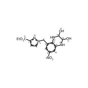 CCOC(=O)c1ccn(Cc2cc([N+](=O)[O-])cc3c2NC(O)C(O)N3)n1